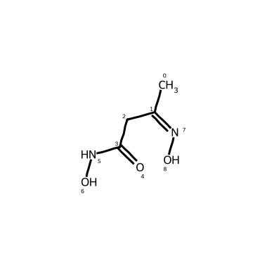 CC(CC(=O)NO)=NO